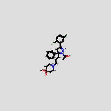 CC(=O)N1N=C(c2cc(F)ccc2F)C[C@@]1(CCCN1CCS(=O)(=O)CC1)c1ccccc1